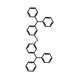 c1ccc(C(c2ccccc2)c2cccc(Sc3cccc(C(c4ccccc4)c4ccccc4)c3)c2)cc1